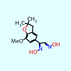 COc1cc(C(/C=N/O)=N\O)cc2c1OC(C)(C)C2